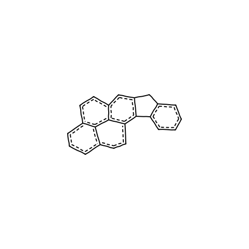 c1ccc2c(c1)Cc1cc3ccc4cccc5ccc(c1-2)c3c45